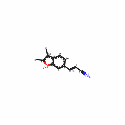 Cc1oc2cc(/C=C/C#N)ccc2c1C